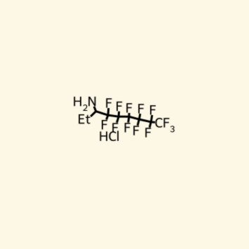 CCC(N)C(F)(F)C(F)(F)C(F)(F)C(F)(F)C(F)(F)C(F)(F)F.Cl